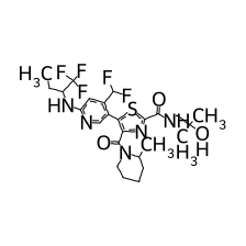 CCC(Nc1cc(C(F)F)c(-c2sc(C(=O)NCC(C)(C)O)nc2C(=O)N2CCCCC2C)cn1)C(F)(F)F